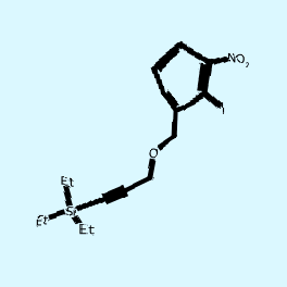 CC[Si](C#CCOCc1cccc([N+](=O)[O-])c1I)(CC)CC